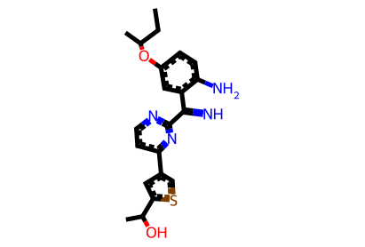 CCC(C)Oc1ccc(N)c(C(=N)c2nccc(-c3csc(C(C)O)c3)n2)c1